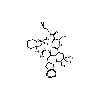 C=CCNC(=O)C(=O)C(CCC)NC(=O)[C@@H]1CC(C)(C)C(C)CN1C(=O)[C@@H](NC(=O)NC1(CS(=O)(=O)C(C)(C)C)CCCCC1)C1Cc2ccccc2C1